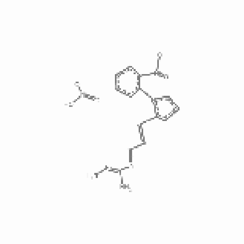 NN=C(N)N=CC=Cc1cccn1-c1ccccc1[N+](=O)[O-].O=[N+]([O-])O